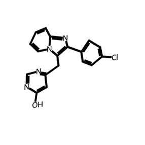 Oc1cc(Cc2c(-c3ccc(Cl)cc3)nc3ccccn23)ncn1